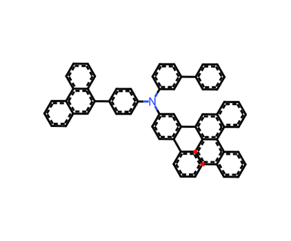 c1ccc(-c2cccc(N(c3ccc(-c4cc5ccccc5c5ccccc45)cc3)c3ccc(-c4ccccc4)c(-c4cc5ccccc5c5c4ccc4ccccc45)c3)c2)cc1